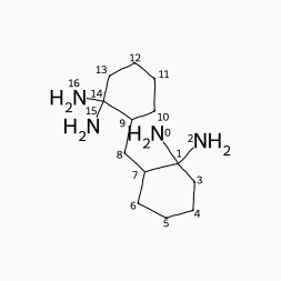 NC1(N)CCCCC1CC1CCCCC1(N)N